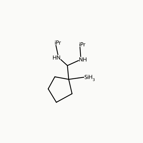 CC(C)NC(NC(C)C)C1([SiH3])CCCC1